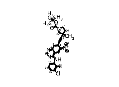 CC1(C#Cc2cc3ncnc(Nc4cccc(Cl)c4F)c3cc2[N+](=O)[O-])CCN(C(=O)OC(C)(C)C)C1